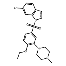 CCOc1ccc(S(=O)(=O)n2ccc3ccc(Cl)cc32)cc1N1CCN(C)CC1